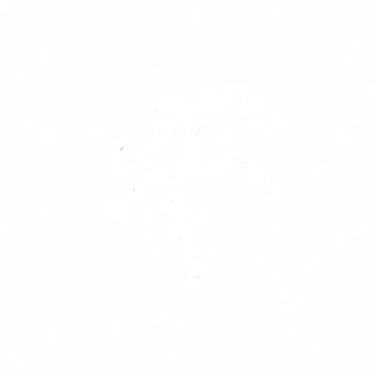 COc1ccc(C2(O)OC(=O)C(C3=COCO3)=C2Cc2cc(OC)c(OC)c(OC)c2)cc1